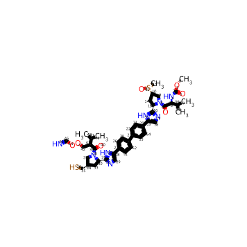 COC(=O)N[C@H](C(=O)N1C[C@@H]([S+](C)[O-])C[C@H]1c1ncc(-c2ccc(-c3ccc(-c4cnc([C@@H]5C[C@H](CS)CN5C(=O)C(COOC=N)C(C)C)[nH]4)cc3)cc2)[nH]1)C(C)C